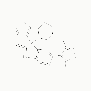 C=C1Nc2ccc(-c3c(C)noc3C)cc2C1(c1ccsc1)N1CCCCC1